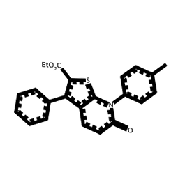 CCOC(=O)c1sc2c(ccc(=O)n2-c2ccc(C)cc2)c1-c1ccccc1